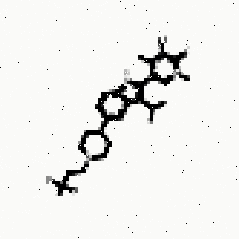 Cc1c(-c2[nH]c3ccc(C4CCN(CCC(F)(F)F)CC4)cc3c2C(C)C)cn(C)c(=O)c1Cl